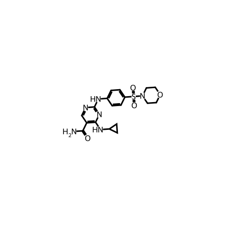 NC(=O)c1cnc(Nc2ccc(S(=O)(=O)N3CCOCC3)cc2)nc1NC1CC1